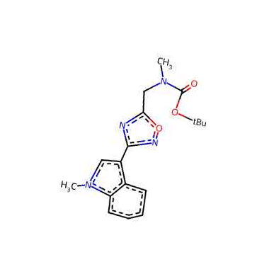 CN(Cc1nc(-c2cn(C)c3ccccc23)no1)C(=O)OC(C)(C)C